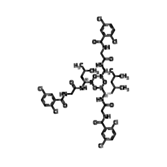 CC(C)CC(C)C[C@H](NC(=O)CNC(=O)c1cc(Cl)ccc1Cl)B1OB(CNC(=O)CNC(=O)c2cc(Cl)ccc2Cl)OB([C@H](CC(C)C)NC(=O)CNC(=O)c2cc(Cl)ccc2Cl)O1